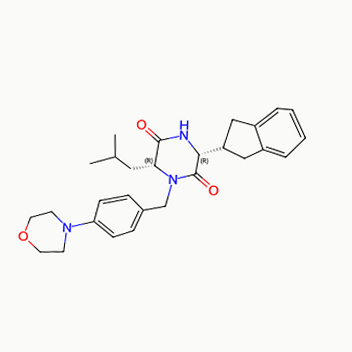 CC(C)C[C@@H]1C(=O)N[C@H](C2Cc3ccccc3C2)C(=O)N1Cc1ccc(N2CCOCC2)cc1